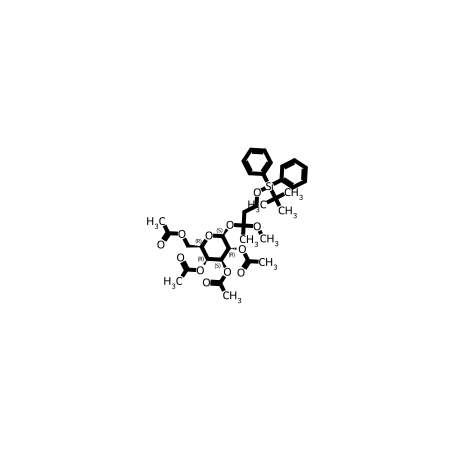 COC(C)(CCO[Si](c1ccccc1)(c1ccccc1)C(C)(C)C)O[C@@H]1O[C@H](COC(C)=O)[C@@H](OC(C)=O)[C@H](OC(C)=O)[C@H]1OC(C)=O